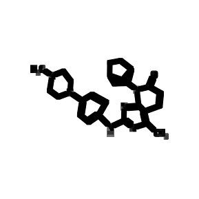 Cc1nc(Nc2ccc(N3CCN(C)CC3)cc2)nc2c1ccc(=O)n2C1CC2CCC1C2